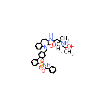 C[C@@H](O)CNC(C)(C)CC(=O)N[C@@H]1CCc2ccccc2N(Cc2ccc(-c3ccccc3S(=O)(=O)NC(=O)c3ccccc3)cc2)C1=O